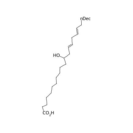 CCCCCCCCCCCC=CCC=CCC(O)CCCCCCCCCCC(=O)O